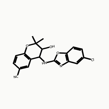 CC1(C)Oc2ccc(C#N)cc2C(Nc2nc3cc(Cl)ccc3o2)C1O